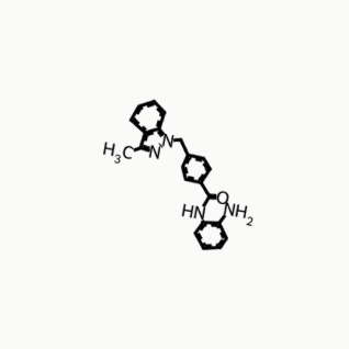 Cc1nn(Cc2ccc(C(=O)Nc3ccccc3N)cc2)c2ccccc12